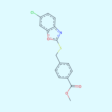 COC(=O)c1ccc(CSc2nc3ccc(Cl)cc3o2)cc1